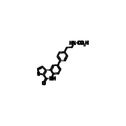 O=C(O)NCCc1ccc(-c2ccc3[nH]c(=O)c4sccc4c3c2)cc1